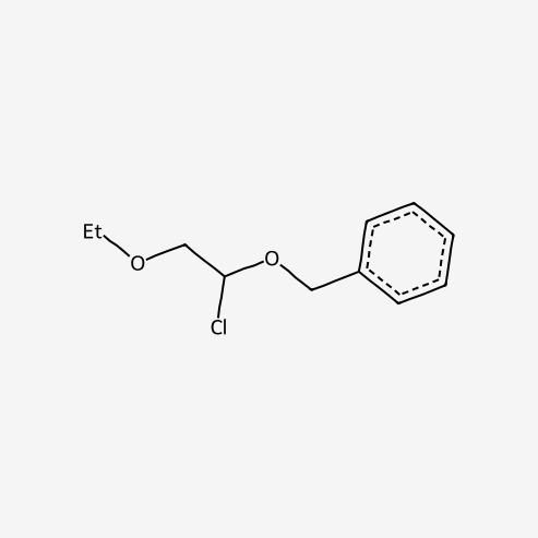 CCOCC(Cl)OCc1ccccc1